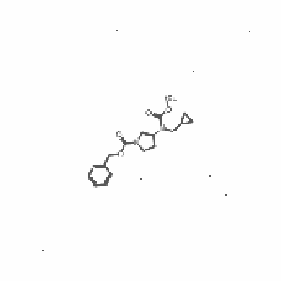 CC(C)(C)OC(=O)N(CC1CC1)[C@H]1CCN(C(=O)OCc2ccccc2)C1